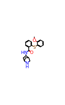 COc1ccccc1Sc1ccccc1C(=O)NC1CC2CC1CN2